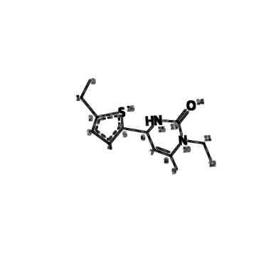 CCc1ccc(C2C=C(C)N(CC)C(=O)N2)s1